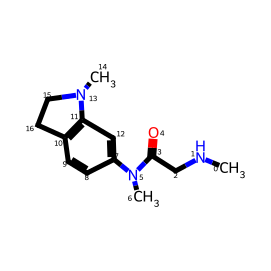 CNCC(=O)N(C)c1ccc2c(c1)N(C)CC2